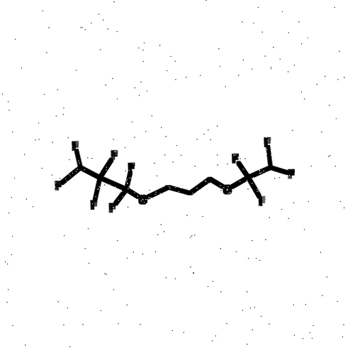 FC(F)C(F)(F)OCCCOC(F)(F)C(F)(F)C(F)F